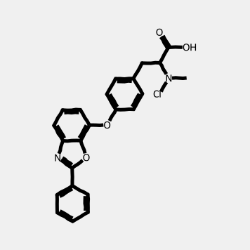 CN(Cl)C(Cc1ccc(Oc2cccc3nc(-c4ccccc4)oc23)cc1)C(=O)O